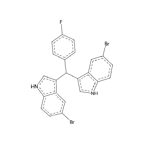 Fc1ccc(C(c2c[nH]c3ccc(Br)cc23)c2c[nH]c3ccc(Br)cc23)cc1